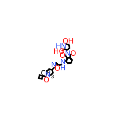 CC1(C(=O)N2CCC(c3ncc(CNc4cccc5c4C(=O)N(C4CCC(O)NC4O)C5=O)o3)CC2)CCC1